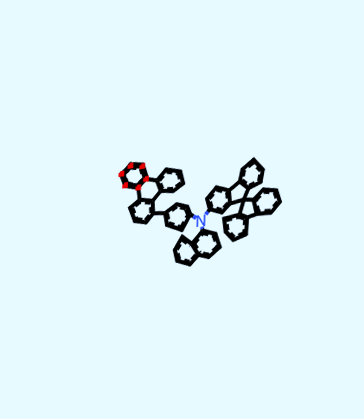 c1ccc(-c2ccccc2-c2c(-c3ccccc3)cccc2-c2ccc(N(c3ccc4c(c3)C3(c5ccccc5-c5ccccc53)c3ccccc3-4)c3cccc4ccccc34)cc2)cc1